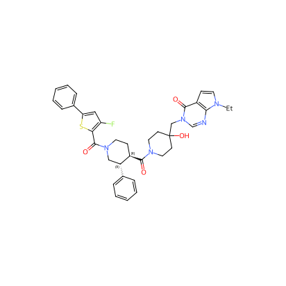 CCn1ccc2c(=O)n(CC3(O)CCN(C(=O)[C@@H]4CCN(C(=O)c5sc(-c6ccccc6)cc5F)C[C@H]4c4ccccc4)CC3)cnc21